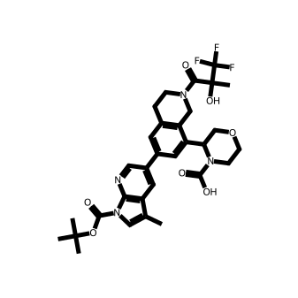 Cc1cn(C(=O)OC(C)(C)C)c2ncc(-c3cc4c(c(C5COCCN5C(=O)O)c3)CN(C(=O)C(C)(O)C(F)(F)F)CC4)cc12